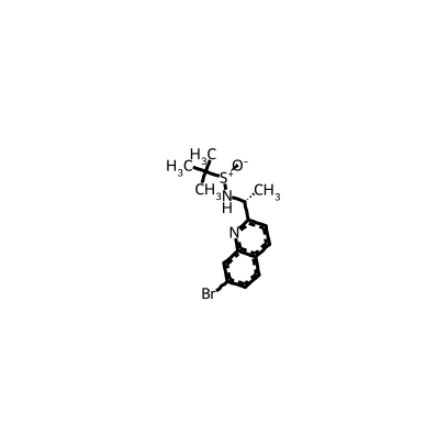 C[C@@H](N[S@+]([O-])C(C)(C)C)c1ccc2ccc(Br)cc2n1